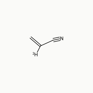 [2H]C(=C)C#N